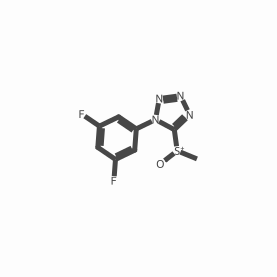 C[S+]([O-])c1nnnn1-c1cc(F)cc(F)c1